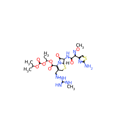 CNC(=N)N/N=C\C1=C(C(=O)OC(C)OC(=O)OC(C)C)N2C(=O)[C@@H](NC(=O)C(=NOC)c3csc(N)n3)[C@H]2SC1